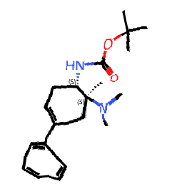 CN(C)[C@@]1(C)CC(c2ccccc2)=CC[C@@H]1NC(=O)OC(C)(C)C